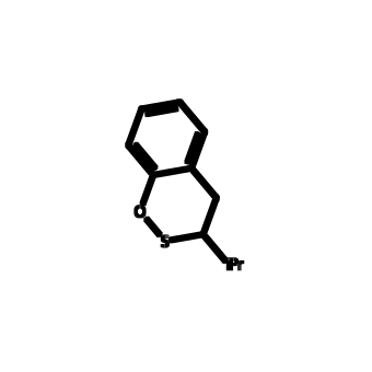 CC(C)C1Cc2ccccc2OS1